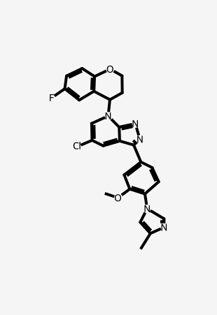 COc1cc(-c2nnc3n(C4CCOc5ccc(F)cc54)cc(Cl)cc2-3)ccc1-n1cnc(C)c1